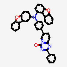 O=c1nc(-c2ccccc2)nc2ccc(-c3ccc(N(c4ccc5oc6ccccc6c5c4)c4cccc5oc6ccccc6c45)cc3)cn12